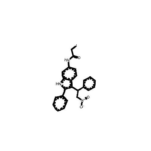 O=C(CI)Nc1ccc2c(C(C[N+](=O)[O-])c3ccccc3)c(-c3ccccc3)[nH]c2c1